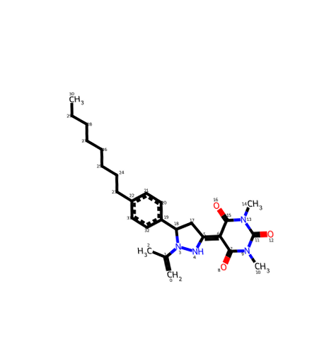 C=C(C)N1NC(=C2C(=O)N(C)C(=O)N(C)C2=O)CC1c1ccc(CCCCCCCC)cc1